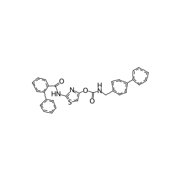 O=C(NCc1ccc(-c2ccccc2)cc1)Oc1csc(NC(=O)c2ccccc2-c2ccccc2)n1